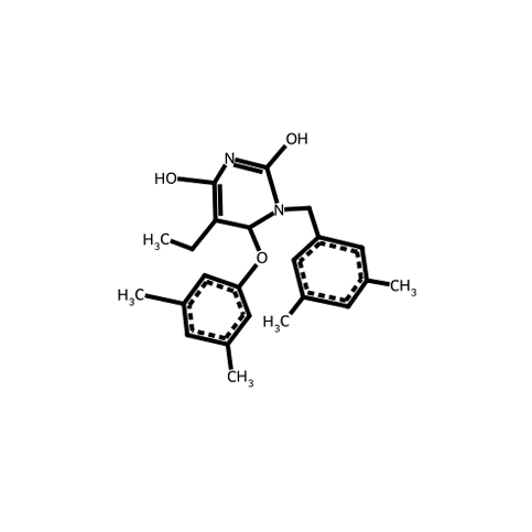 CCC1=C(O)N=C(O)N(Cc2cc(C)cc(C)c2)C1Oc1cc(C)cc(C)c1